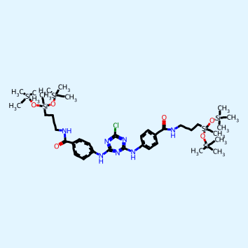 C[Si](C)(C)O[Si](C)(CCCNC(=O)c1ccc(Nc2nc(Cl)nc(Nc3ccc(C(=O)NCCC[Si](C)(O[Si](C)(C)C)O[Si](C)(C)C)cc3)n2)cc1)O[Si](C)(C)C